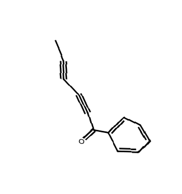 CC#CC#CC(=O)c1ccccc1